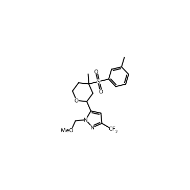 COCn1nc(C(F)(F)F)cc1C1CC(C)(S(=O)(=O)c2cccc(C)c2)CCO1